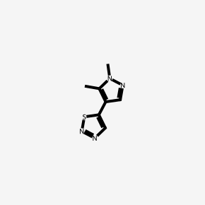 Cc1c(-c2cnns2)cnn1C